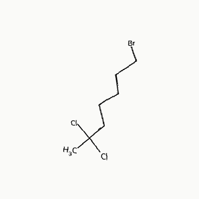 CC(Cl)(Cl)CCCCCBr